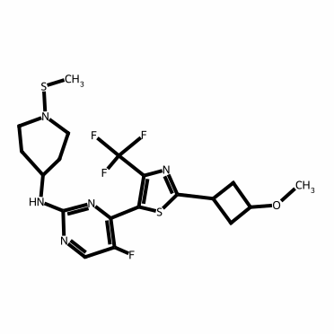 COC1CC(c2nc(C(F)(F)F)c(-c3nc(NC4CCN(SC)CC4)ncc3F)s2)C1